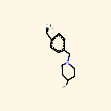 C=Cc1ccc(CN2CCC(CCC)CC2)cc1